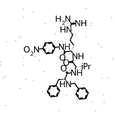 CC(C)[C@H](NC(=O)[C@H](Cc1ccccc1)NCc1ccccc1)C(=O)N[C@@H](CCCNC(=N)N)C(=O)Nc1ccc([N+](=O)[O-])cc1